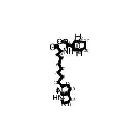 O=C(NC(CCCCCCCc1ccc2c(n1)NCCC2)C(=O)O)C1C[C@H]2CC[C@@H](C1)O2